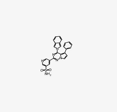 NS(=O)(=O)c1cncc(-c2nc(-n3cc4ccccc4c3)c3c(-c4ccccc4)ccn3n2)c1